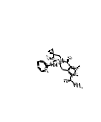 Cn1nc(C(N)=O)c2c1C(=O)N(CC1(S(=O)(=O)Nc3ccccn3)CC1)CC2